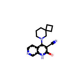 N#Cc1c(N2CCCC3(CCC3)C2)c2ccncc2[nH]c1=O